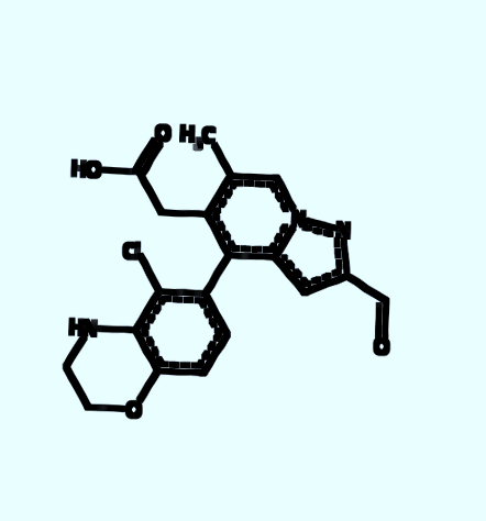 Cc1cn2nc(C=O)cc2c(-c2ccc3c(c2Cl)NCCO3)c1CC(=O)O